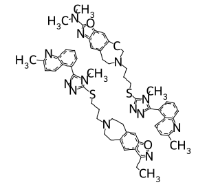 CCc1noc2cc3c(cc12)CCN(CCCSc1nnc(-c2cccc4nc(C)ccc24)n1C)CC3.Cc1ccc2c(-c3nnc(SCCCN4CCc5cc6nc(N(C)C)oc6cc5CC4)n3C)cccc2n1